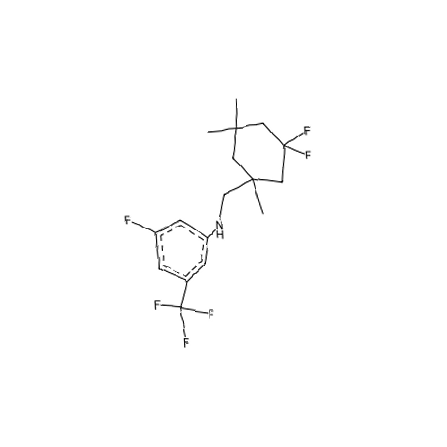 CC1(C)CC(F)(F)CC(C)(CNc2cc(F)cc(C(F)(F)F)c2)C1